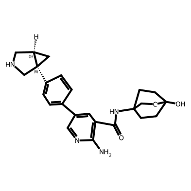 Nc1ncc(-c2ccc([C@]34CNC[C@H]3C4)cc2)cc1C(=O)NC12CCC(O)(CC1)CC2